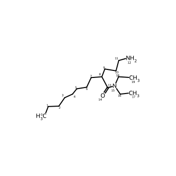 CCCCCCCCC(CCCN)C(=O)N(CC)CC